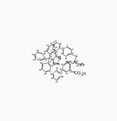 CCCN(Cc1ccc(-c2ccccc2-c2nnnn2C(c2ccccc2)(c2ccccc2)c2ccccc2)cc1)c1ncc(-c2ccccc2)cc1C(=O)O